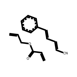 C=CCOC(=O)C=C.N#CC=CC=Cc1ccccc1